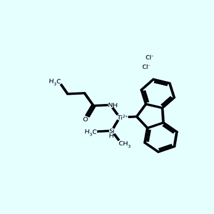 CCCC(=O)[NH][Ti+2]([CH]1c2ccccc2-c2ccccc21)[SiH](C)C.[Cl-].[Cl-]